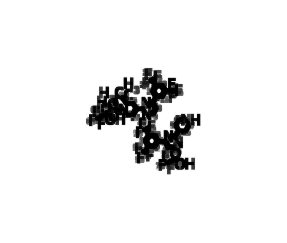 CC(C)(C)C1CC(c2nccc(-c3cc(C(F)(F)F)cc(C(F)(F)F)c3)n2)=CCN1C(=O)O.FC(F)(F)c1cc(-c2ccnc(C3CCNCC3)n2)cc(C(F)(F)F)c1.O=C(O)C(F)(F)F.O=C(O)C(F)(F)F